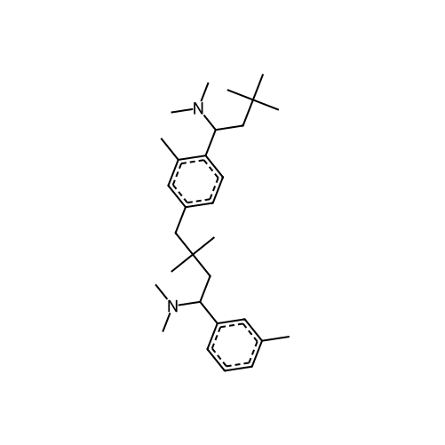 Cc1cccc(C(CC(C)(C)Cc2ccc(C(CC(C)(C)C)N(C)C)c(C)c2)N(C)C)c1